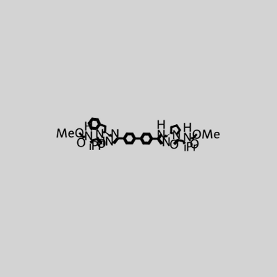 COC(=O)NC(C(=O)N1CCC[C@H]1c1ncc(-c2ccc(-c3ccc(-c4c[nH]c([C@@H]5Cc6ccccc6N5C(=O)C(NC(=O)OC)C(C)C)n4)cc3)cc2)[nH]1)C(C)C